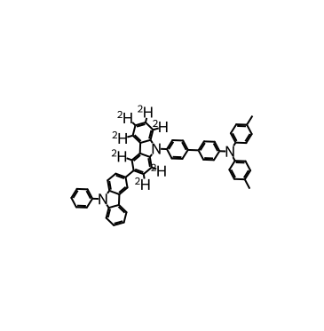 [2H]c1c([2H])c([2H])c2c(c1[2H])c1c([2H])c(-c3ccc4c(c3)c3ccccc3n4-c3ccccc3)c([2H])c([2H])c1n2-c1ccc(-c2ccc(N(c3ccc(C)cc3)c3ccc(C)cc3)cc2)cc1